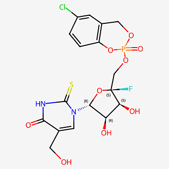 O=c1[nH]c(=S)n([C@@H]2O[C@](F)(COP3(=O)OCc4cc(Cl)ccc4O3)[C@@H](O)[C@H]2O)cc1CO